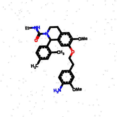 CCNC(=O)N1CCc2cc(OC)c(OCCc3ccc(N)c(OC)c3)cc2C1c1ccc(C)cc1C